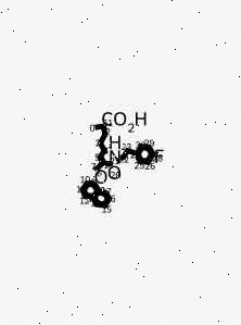 CC(CCCC=C(COc1cccc2ccccc12)C(=O)NCCc1ccc(F)cc1)C(=O)O